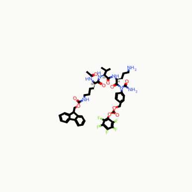 CC(=O)N[C@@H](CCCCNC(=O)OCC1c2ccccc2-c2ccccc21)C(=O)N[C@H](C(=O)N[C@@H](CCCN)C(=O)N(C(N)=O)c1ccc(COC(=O)Oc2c(F)c(F)c(F)c(F)c2F)cc1)C(C)C